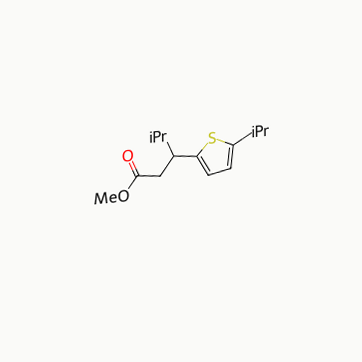 COC(=O)CC(c1ccc(C(C)C)s1)C(C)C